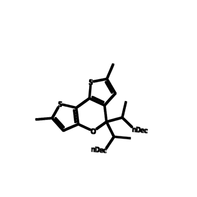 CCCCCCCCCCC(C)C1(C(C)CCCCCCCCCC)Oc2cc(C)sc2-c2sc(C)cc21